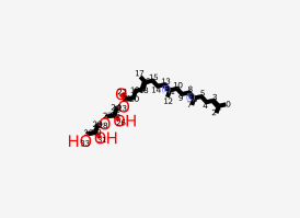 CC(C)=CCC/C(C)=C/CC/C(C)=C/CCC(C)=CCCC(=O)OCC(O)COCC(O)CO